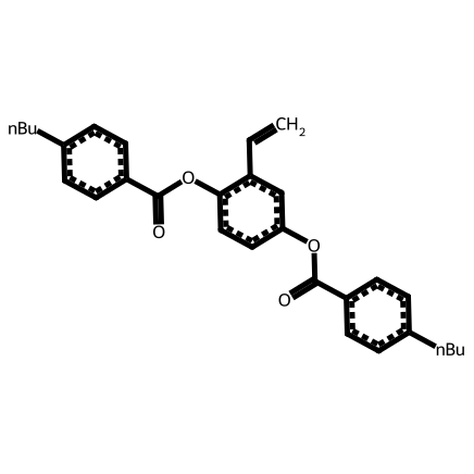 C=Cc1cc(OC(=O)c2ccc(CCCC)cc2)ccc1OC(=O)c1ccc(CCCC)cc1